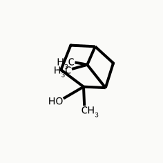 CC1(O)[CH]CC2CC1C2(C)C